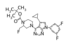 CC(C)(C)OC(=O)N1CCN(c2ncnc3c2c(C2CC2)cn3-c2cc(F)cc(F)c2)CC1CF